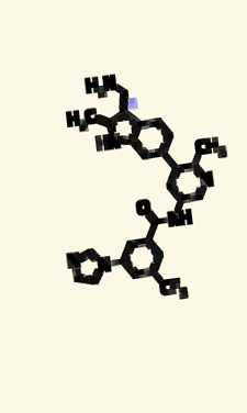 C=c1[nH]c2cc(-c3cc(NC(=O)c4cc(-n5ccnc5)cc(C(F)(F)F)c4)cnc3C)ccc2/c1=C/N